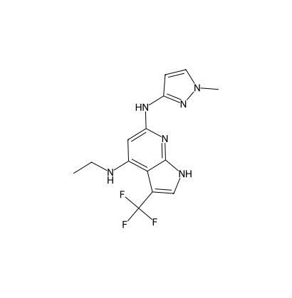 CCNc1cc(Nc2ccn(C)n2)nc2[nH]cc(C(F)(F)F)c12